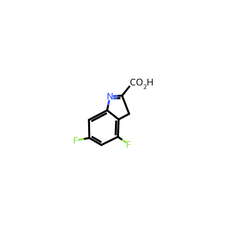 O=C(O)C1=Nc2cc(F)cc(F)c2C1